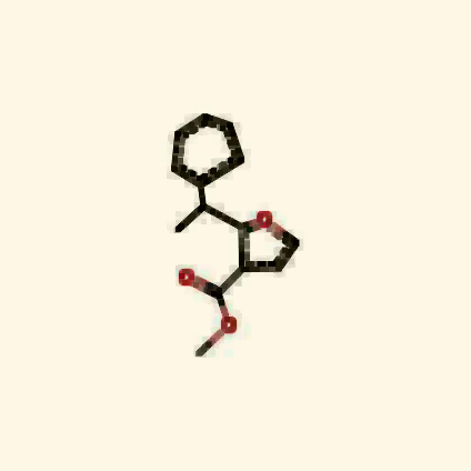 COC(=O)c1ccoc1C(C)c1ccccc1